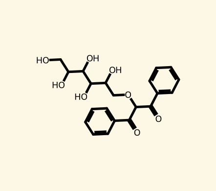 O=C(c1ccccc1)C(OCC(O)C(O)C(O)C(O)CO)C(=O)c1ccccc1